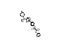 O=C(Cc1cccs1)NCc1ccc(-c2nc(C(=O)N3CCSCC3)co2)cc1